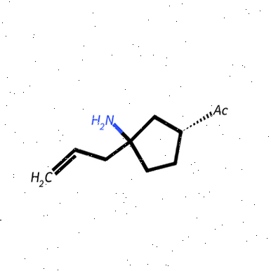 C=CCC1(N)CC[C@@H](C(C)=O)C1